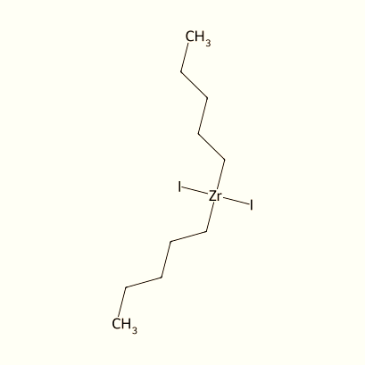 CCCC[CH2][Zr]([I])([I])[CH2]CCCC